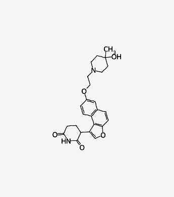 CC1(O)CCN(CCOc2ccc3c(ccc4occ(C5CCC(=O)NC5=O)c43)c2)CC1